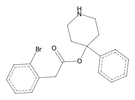 O=C(Cc1ccccc1Br)OC1(c2ccccc2)CCNCC1